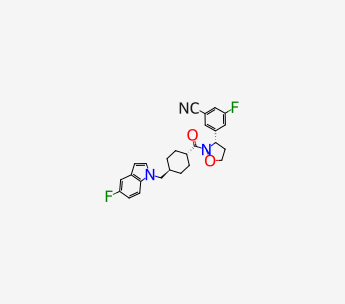 N#Cc1cc(F)cc([C@@H]2CCON2C(=O)[C@H]2CC[C@H](Cn3ccc4cc(F)ccc43)CC2)c1